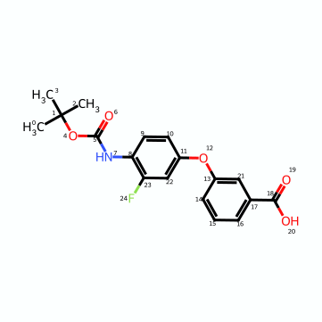 CC(C)(C)OC(=O)Nc1ccc(Oc2cccc(C(=O)O)c2)cc1F